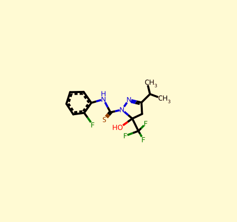 CC(C)C1=NN(C(=S)Nc2ccccc2F)C(O)(C(F)(F)F)C1